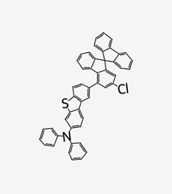 Clc1cc(-c2ccc3sc4cc(N(c5ccccc5)c5ccccc5)ccc4c3c2)c2c(c1)C1(c3ccccc3-c3ccccc31)c1ccccc1-2